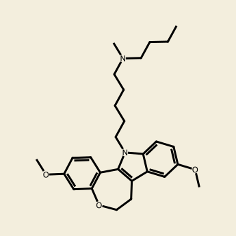 CCCCN(C)CCCCCn1c2c(c3cc(OC)ccc31)CCOc1cc(OC)ccc1-2